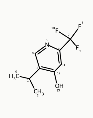 CC(C)c1cnc(C(F)(F)F)cc1O